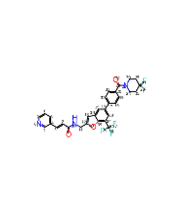 O=C(/C=C/c1cccnc1)NCc1cc2cc(-c3ccc(C(=O)N4CCC(F)(F)CC4)cc3)cc(C(F)(F)F)c2o1